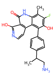 Cc1c(F)c(O)c(-c2ccc(C(C)CN)cc2)c2c1[nH]c(=O)c1c(O)nccc12